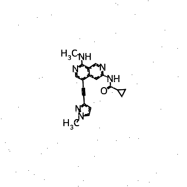 CNc1ncc(C#Cc2ccn(C)n2)c2cc(NC(=O)C3CC3)ncc12